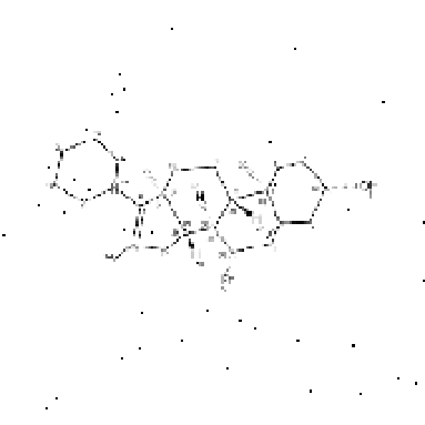 CC[C@H]1C=C2C[C@@H](O)CC[C@]2(C)[C@H]2CC[C@]3(C)C(N4CCCCC4)=C(C)C[C@H]3[C@H]12